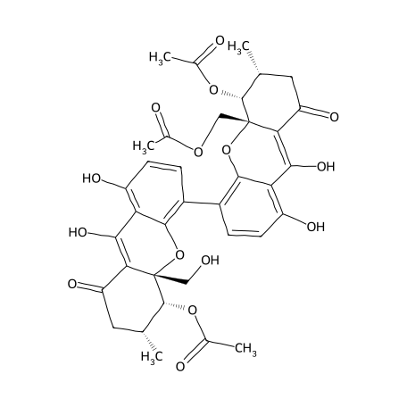 CC(=O)OC[C@]12Oc3c(-c4ccc(O)c5c4O[C@@]4(CO)C(=C5O)C(=O)C[C@@H](C)[C@H]4OC(C)=O)ccc(O)c3C(O)=C1C(=O)C[C@@H](C)[C@H]2OC(C)=O